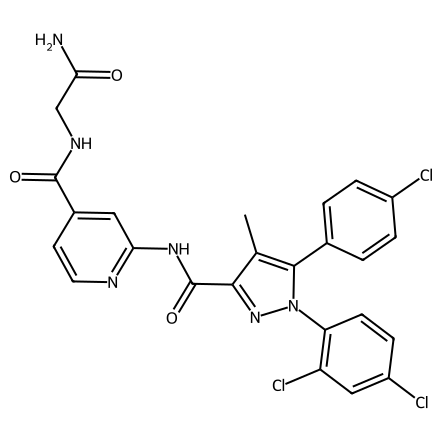 Cc1c(C(=O)Nc2cc(C(=O)NCC(N)=O)ccn2)nn(-c2ccc(Cl)cc2Cl)c1-c1ccc(Cl)cc1